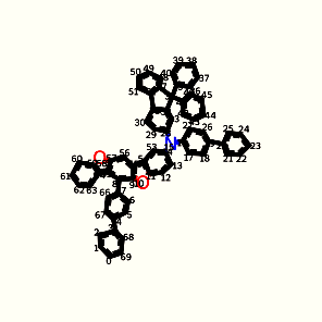 c1ccc(-c2ccc(-c3c4oc5ccc(N(c6ccc(-c7ccccc7)cc6)c6ccc7c(c6)C(c6ccccc6)(c6ccccc6)c6ccccc6-7)cc5c4cc4oc5ccccc5c34)cc2)cc1